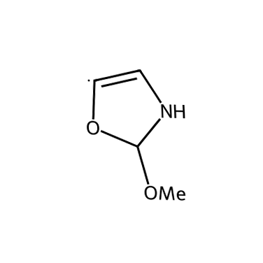 COC1NC=[C]O1